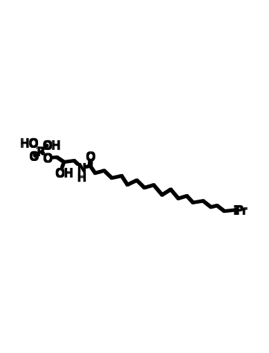 CC(C)CCCCCCCCCCCCCCCCCC(=O)NCC(O)COP(=O)(O)O